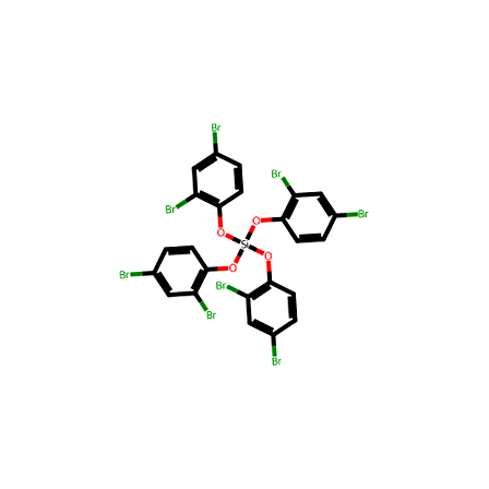 Brc1ccc(O[Si](Oc2ccc(Br)cc2Br)(Oc2ccc(Br)cc2Br)Oc2ccc(Br)cc2Br)c(Br)c1